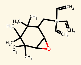 C=C[Si](C=C)(C=C)CC1C2OC2C(C)(C)C(C)(C)C1(C)C